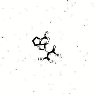 C=C(O)[C@@H](C(N)=O)N1C[C@]2(CCCN2C(=O)C(C)C)C1=O